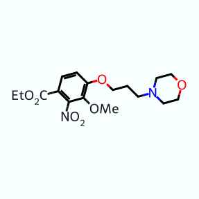 CCOC(=O)c1ccc(OCCCN2CCOCC2)c(OC)c1[N+](=O)[O-]